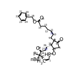 C=CPO[C@@H]1CC(=O)[C@H](C/C=C\CCCC(=O)OCc2ccccc2)[C@H]1/C=C/C(=O)C(F)(F)CCCC